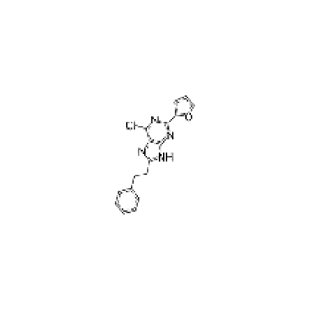 Clc1nc(-c2ccco2)nc2[nH]c(CCc3ccccc3)nc12